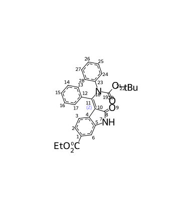 CCOC(=O)c1ccc2c(c1)NC(=O)/C2=C(/c1ccccc1)N(C(=O)OC(C)(C)C)c1ccccc1